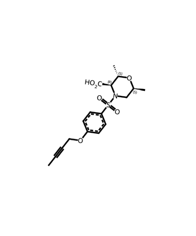 CC#CCOc1ccc(S(=O)(=O)N2C[C@H](C)O[C@@H](C)[C@@H]2C(=O)O)cc1